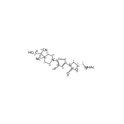 CC(=O)NC[C@H]1CN(c2ccc(N3CCC(C#N)(C(C#N)C(=O)O)CC3)c(F)c2)C(=O)O1